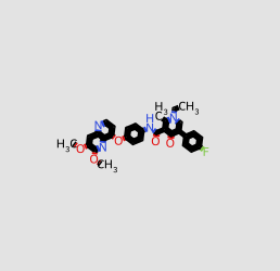 CCn1cc(-c2ccc(F)cc2)c(=O)c(C(=O)Nc2ccc(Oc3ccnc4cc(OC)c(OC)nc34)cc2)c1C